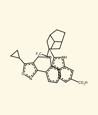 O=C(O)c1ccc2nc(SC3C4CCC3CC(NCc3c(-c5ccccc5OC(F)(F)F)noc3C3CC3)C4)[nH]c2c1